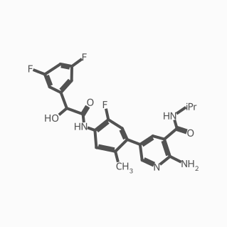 Cc1cc(NC(=O)C(O)c2cc(F)cc(F)c2)c(F)cc1-c1cnc(N)c(C(=O)NC(C)C)c1